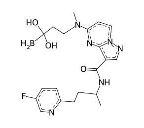 BC(O)(O)CCN(C)c1ccn2ncc(C(=O)NC(C)CCc3ccc(F)cn3)c2n1